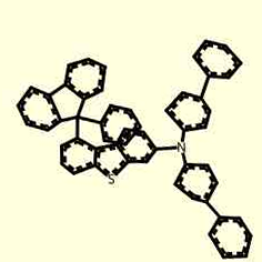 c1ccc(-c2ccc(N(c3ccc(-c4ccccc4)cc3)c3ccc4c(c3)sc3cccc(C5(c6ccccc6)c6ccccc6-c6ccccc65)c34)cc2)cc1